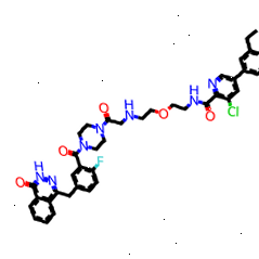 CCc1cccc(-c2cnc(C(=O)NCCOCCNCC(=O)N3CCN(C(=O)c4cc(Cc5n[nH]c(=O)c6ccccc56)ccc4F)CC3)c(Cl)c2)c1